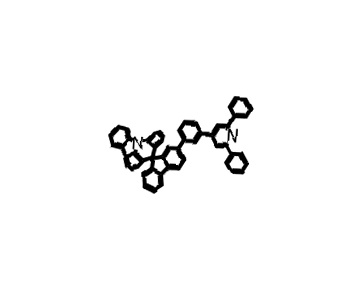 c1ccc(-c2cc(-c3cccc(-c4ccc5c(c4)C4(c6ccccc6-5)c5ccccc5-n5c6ccccc6c6cccc4c65)c3)cc(-c3ccccc3)n2)cc1